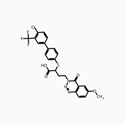 COc1ccc2nnn(CCC(Sc3ccc(-c4ccc(Cl)c(C(F)(F)F)c4)cc3)C(=O)O)c(=O)c2c1